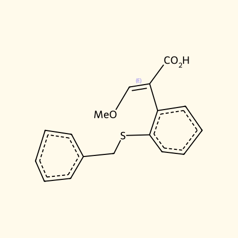 CO/C=C(/C(=O)O)c1ccccc1SCc1ccccc1